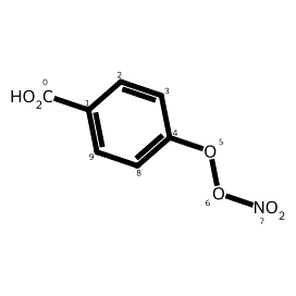 O=C(O)c1ccc(OO[N+](=O)[O-])cc1